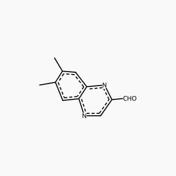 Cc1cc2ncc(C=O)nc2cc1C